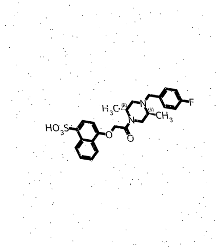 C[C@@H]1CN(Cc2ccc(F)cc2)[C@@H](C)CN1C(=O)COc1ccc(S(=O)(=O)O)c2ccccc12